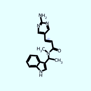 CC(c1c[nH]c2ccccc12)N(C)C(=O)/C=C/c1cnc(N)nc1